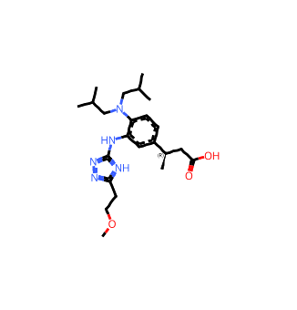 COCCc1nnc(Nc2cc([C@H](C)CC(=O)O)ccc2N(CC(C)C)CC(C)C)[nH]1